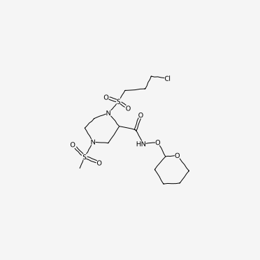 CS(=O)(=O)N1CCN(S(=O)(=O)CCCCl)C(C(=O)NOC2CCCCO2)C1